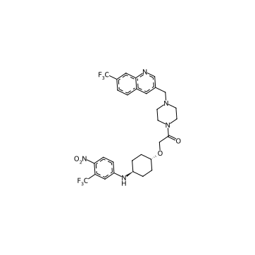 O=C(CO[C@H]1CC[C@H](Nc2ccc([N+](=O)[O-])c(C(F)(F)F)c2)CC1)N1CCN(Cc2cnc3cc(C(F)(F)F)ccc3c2)CC1